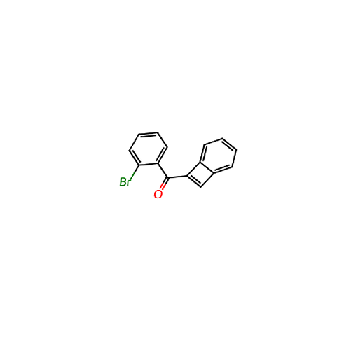 O=C(C1=Cc2ccccc21)c1ccccc1Br